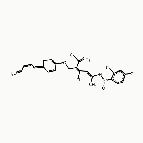 C=C/C=C\C=C1/CC=C(OC/C(C(=C)Cl)=C(Cl)/C=C(\C)N[S+]([O-])c2ccc(Cl)cc2Cl)C=N1